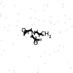 C=CCN(CC1CO1)CC1CO1